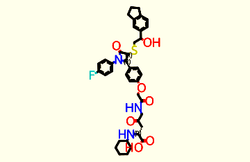 O=C(CNC(=O)COc1ccc([C@@H]2[C@@H](SCC(O)c3ccc4c(c3)CCC4)C(=O)N2c2ccc(F)cc2)cc1)C[C@@H](NC1CCCCC1)C(=O)O